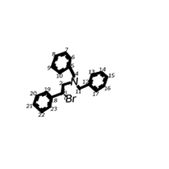 Br[C@@H](CN(Cc1ccccc1)Cc1ccccc1)c1ccccc1